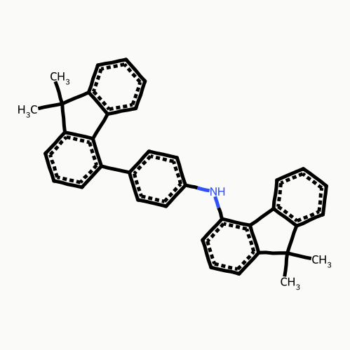 CC1(C)c2ccccc2-c2c(Nc3ccc(-c4cccc5c4-c4ccccc4C5(C)C)cc3)cccc21